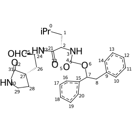 CC(C)C[C@H](NC(=O)OC(Cc1ccccc1)c1ccccc1)C(=O)N[C@H](C=O)C[C@@H]1CCNC1=O